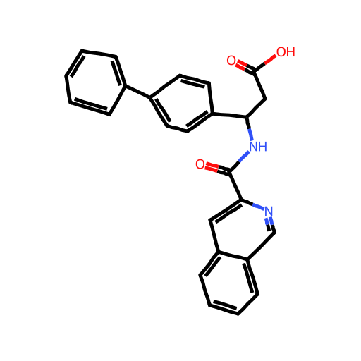 O=C(O)CC(NC(=O)c1cc2ccccc2cn1)c1ccc(-c2ccccc2)cc1